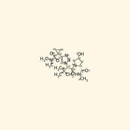 CNC(=O)[C@H]1CC(O)CN1C(=O)C(n1cc(C2(S(=O)(=O)N(C)C)CC2)nn1)C(C)(C)C